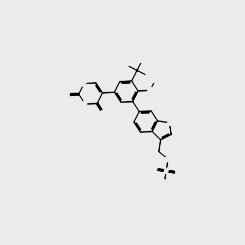 COc1c(-c2ccc3c(CNS(C)(=O)=O)csc3c2)cc(-c2c[nH]c(=O)[nH]c2=O)cc1C(F)(F)F